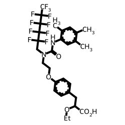 CCOC(Cc1ccc(OCCN(CC(F)(F)C(F)(F)C(F)(F)C(F)(F)C(F)(F)F)C(=O)Nc2cc(C)c(C)cc2C)cc1)C(=O)O